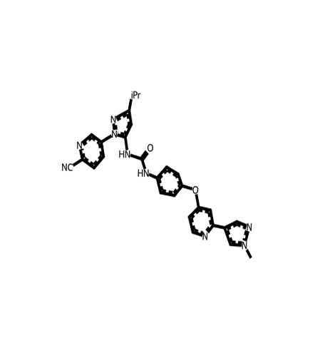 CC(C)c1cc(NC(=O)Nc2ccc(Oc3ccnc(-c4cnn(C)c4)c3)cc2)n(-c2ccc(C#N)nc2)n1